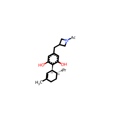 CC(=O)N1CC(Cc2cc(O)c([C@@H]3C=C(C)CC[C@H]3C(C)C)c(O)c2)C1